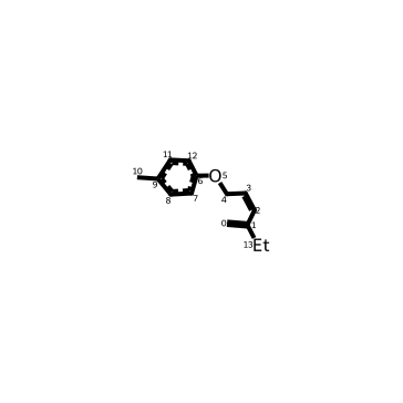 C=C(/C=C\COc1ccc(C)cc1)CC